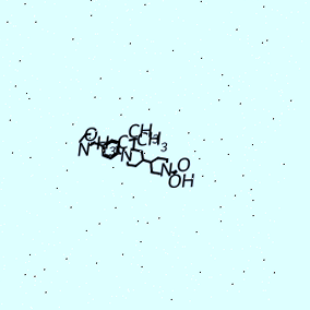 CC(C)(C)C1CC(C2CCN(C(=O)O)CC2)CCN1c1ccc(C2=NCCO2)cc1